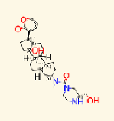 CN(C(=O)N1CCN[C@@H](CO)C1)[C@H]1CC[C@@]2(C)[C@H](CC[C@@H]3[C@@H]2CC[C@]2(C)[C@H](c4cccoc4=O)CC[C@]32O)C1